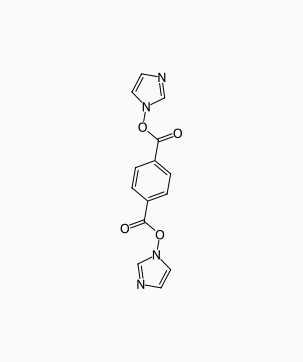 O=C(On1ccnc1)c1ccc(C(=O)On2ccnc2)cc1